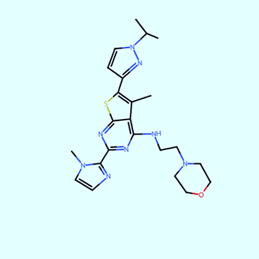 Cc1c(-c2ccn(C(C)C)n2)sc2nc(-c3nccn3C)nc(NCCN3CCOCC3)c12